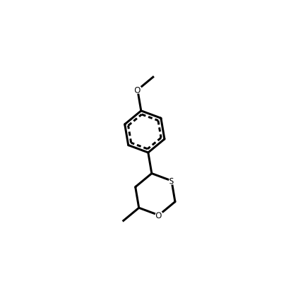 COc1ccc(C2CC(C)OCS2)cc1